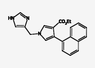 CCOC(=O)c1cn(Cc2c[nH]cn2)cc1-c1cccc2ccccc12